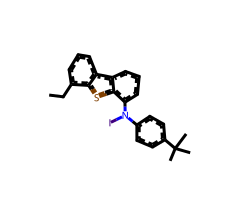 CCc1cccc2c1sc1c(N(I)c3ccc(C(C)(C)C)cc3)cccc12